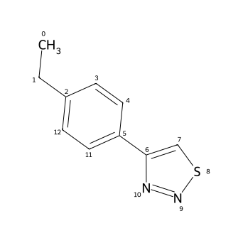 CCc1ccc(-c2csnn2)cc1